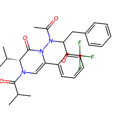 CC(=O)N(C(Cc1ccccc1)C(=O)C(F)(F)F)N1C(=O)[C@@H](C(C)C)N(C(=O)C(C)C)C=C1c1ccccc1